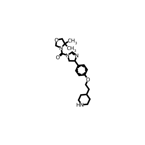 CC1(C)COCN1C(=O)N1C=NC(c2ccc(OCCC3CCNCC3)cc2)C1